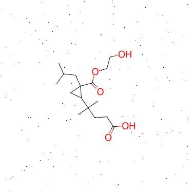 CC(C)CC1(C(=O)OCCO)CC1C(C)(C)CCC(=O)O